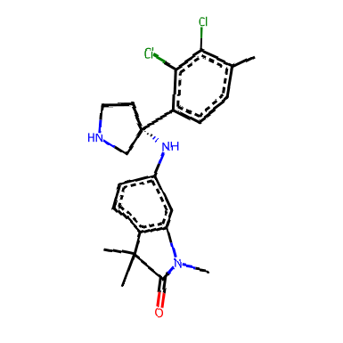 Cc1ccc([C@]2(Nc3ccc4c(c3)N(C)C(=O)C4(C)C)CCNC2)c(Cl)c1Cl